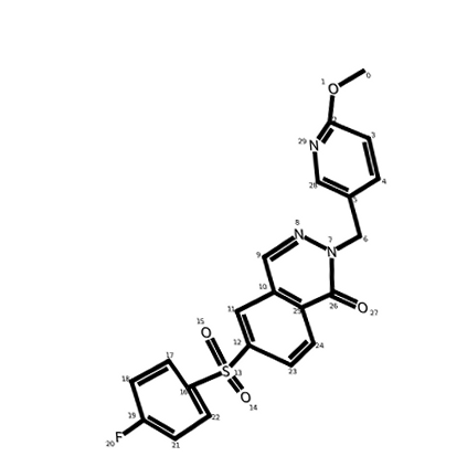 COc1ccc(Cn2ncc3cc(S(=O)(=O)c4ccc(F)cc4)ccc3c2=O)cn1